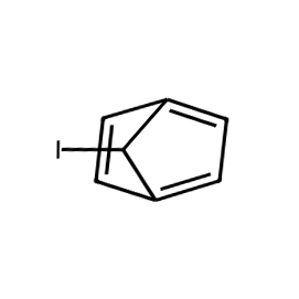 IC1C2=CC=C1C=C2